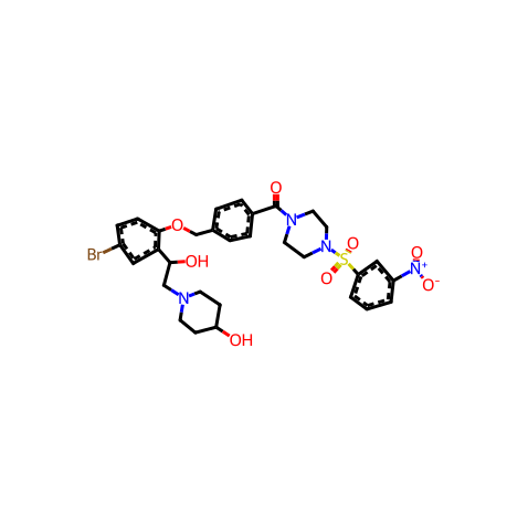 O=C(c1ccc(COc2ccc(Br)cc2C(O)CN2CCC(O)CC2)cc1)N1CCN(S(=O)(=O)c2cccc([N+](=O)[O-])c2)CC1